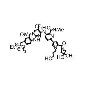 CCOP(C)(=O)Cc1ccc(Nc2ncc(C(F)(F)F)c(Nc3ccc(-c4cc(C(=O)N5CC(C)(O)C5)n(CCCO)c4)nc3C(=O)NC)n2)c(OC)c1